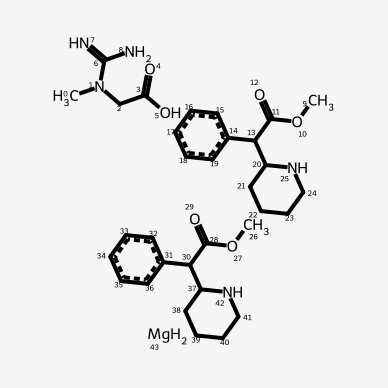 CN(CC(=O)O)C(=N)N.COC(=O)C(c1ccccc1)C1CCCCN1.COC(=O)C(c1ccccc1)C1CCCCN1.[MgH2]